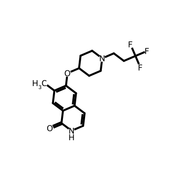 Cc1cc2c(=O)[nH]ccc2cc1OC1CCN(CCC(F)(F)F)CC1